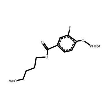 CCCCCCCOc1ccc(C(=O)OCCCCOC)cc1F